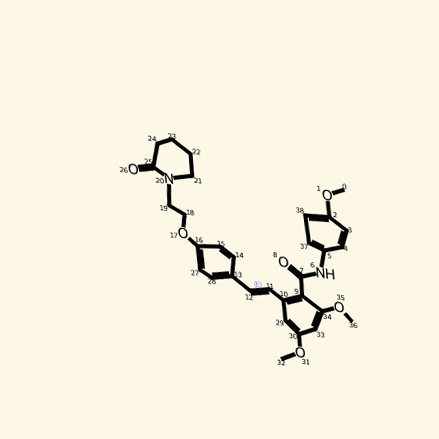 COc1ccc(NC(=O)c2c(/C=C/c3ccc(OCCN4CCCCC4=O)cc3)cc(OC)cc2OC)cc1